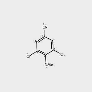 CNc1c(Cl)cc(C#N)cc1Cl